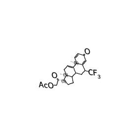 CC(=O)OCC(=O)[C@H]1CCC2C3CC(C(F)(F)F)C4=CC(=O)C=C[C@]4(C)C3=CC[C@@]21C